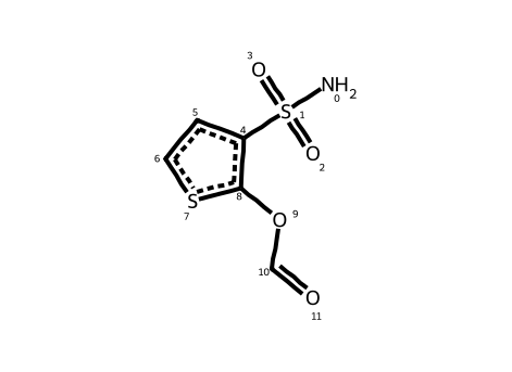 NS(=O)(=O)c1ccsc1OC=O